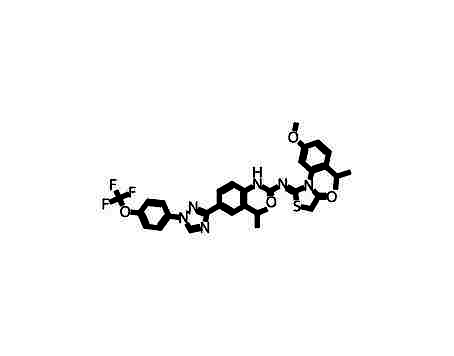 COc1ccc(C(C)C)c(N2C(=O)CSC2=NC(=O)Nc2ccc(-c3ncn(-c4ccc(OC(F)(F)F)cc4)n3)cc2C(C)C)c1